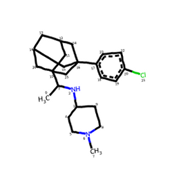 CC(NC1CCN(C)CC1)C12CC3CC(CC(c4ccc(Cl)cc4)(C3)C1)C2